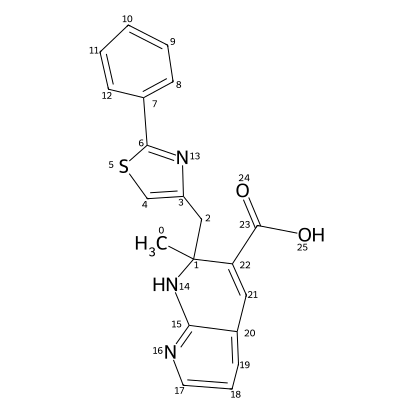 CC1(Cc2csc(-c3ccccc3)n2)Nc2ncccc2C=C1C(=O)O